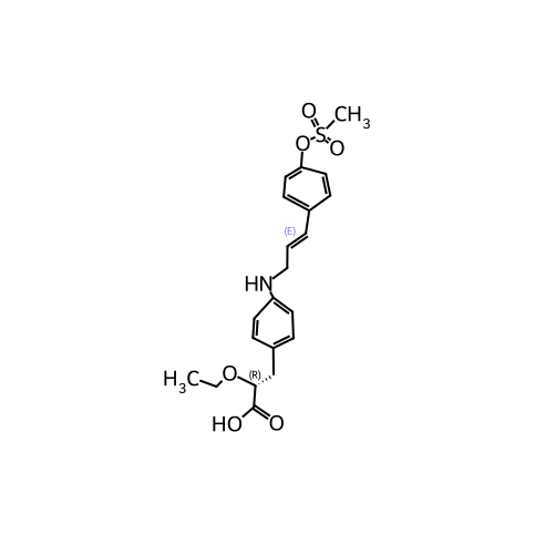 CCO[C@H](Cc1ccc(NC/C=C/c2ccc(OS(C)(=O)=O)cc2)cc1)C(=O)O